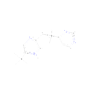 CC(C)(C)c1cnc(CC(C)(C)c2ccncn2)cn1